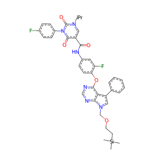 CC(C)n1cc(C(=O)Nc2ccc(Oc3ncnc4c3c(-c3ccccc3)cn4COCC[Si](C)(C)C)c(F)c2)c(=O)n(-c2ccc(F)cc2)c1=O